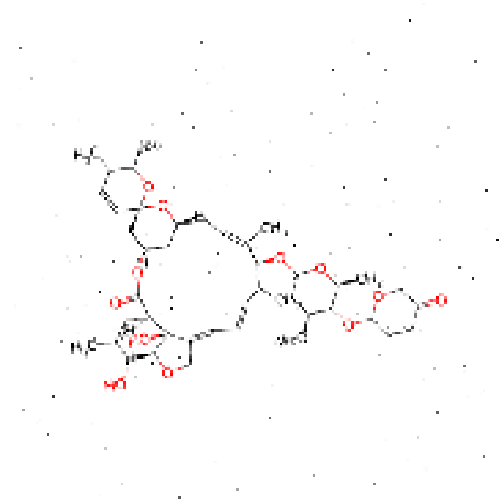 CCC(C)[C@H]1O[C@]2(C=C[C@@H]1C)C[C@@H]1C[C@@H](C/C=C(\C)[C@@H](OC3C[C@H](OC)[C@@H](OC4CCC(=O)CO4)[C@H](C)O3)C(C)/C=C/C=C3\CO[C@@H]4[C@H](O)C(C)=C[C@@H](C(=O)O1)[C@]34O)O2